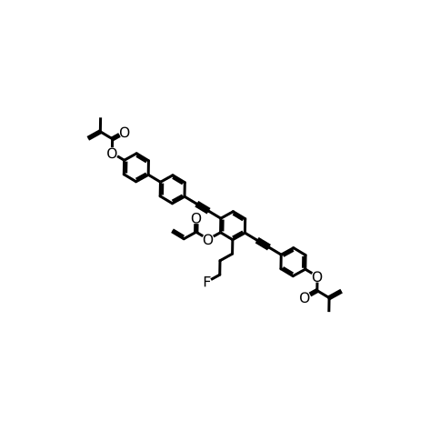 C=CC(=O)Oc1c(C#Cc2ccc(-c3ccc(OC(=O)C(=C)C)cc3)cc2)ccc(C#Cc2ccc(OC(=O)C(=C)C)cc2)c1CCCF